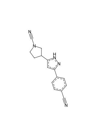 N#Cc1ccc(-c2cc(C3CCN(C#N)C3)[nH]n2)cc1